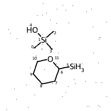 C[Si](C)(C)O.[SiH3]C1CCCCO1